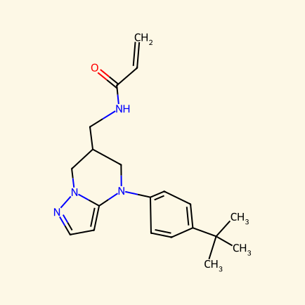 C=CC(=O)NCC1CN(c2ccc(C(C)(C)C)cc2)c2ccnn2C1